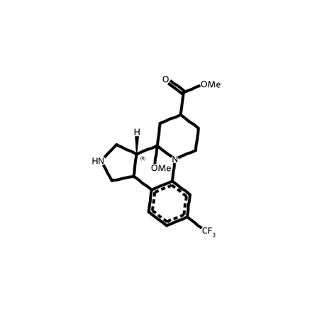 COC(=O)C1CCN2c3cc(C(F)(F)F)ccc3C3CNC[C@@H]3C2(OC)C1